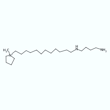 C[N+]1(CCCCCCCCCCCCNCCCCN)CCCC1